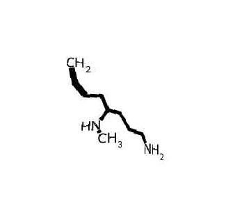 C=C=CCC(CCCN)NC